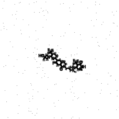 C[C@@H](CCCn1cnc2cc(-c3ncc(C(F)(F)F)c(N4CC(C)(O)C4)n3)c(F)cc2c1=O)Nc1cn[nH]c(=O)c1C(F)(F)F